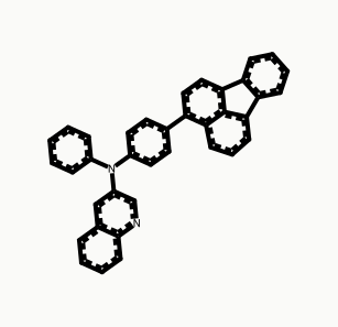 c1ccc(N(c2ccc(-c3ccc4c5c(cccc35)-c3ccccc3-4)cc2)c2cnc3ccccc3c2)cc1